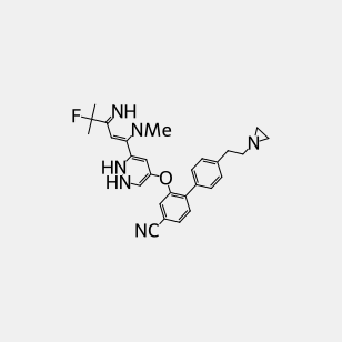 CN/C(=C\C(=N)C(C)(C)F)C1=CC(Oc2cc(C#N)ccc2-c2ccc(CCN3CC3)cc2)=CNN1